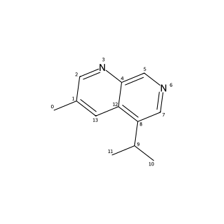 Cc1cnc2cncc(C(C)C)c2c1